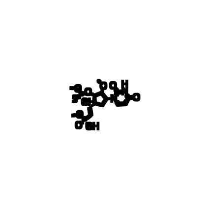 CO[C@@H]1[C@H](OP(O)(=S)OC)[C@@H](/C=C/P(=O)(O)OC)C[C@H]1n1ccc(=O)[nH]c1=O